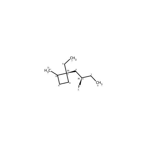 CC[C@@H](F)C[C@@]1(CC)CCC1C